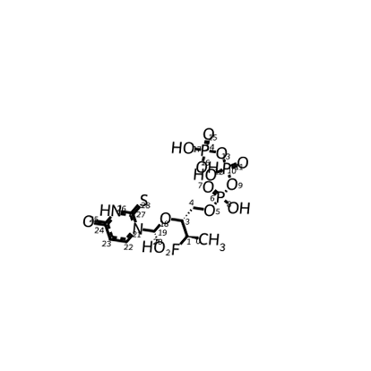 C[C@@H](F)[C@@H](COP(=O)(O)OP(=O)(O)OP(=O)(O)O)O[C@H](O)n1ccc(=O)[nH]c1=S